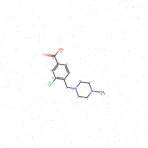 CN1CCN(Cc2ccc(C(=O)O)cc2Cl)CC1